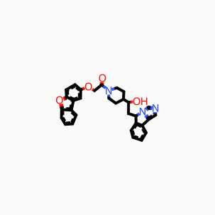 O=C(COc1ccc2oc3ccccc3c2c1)N1CCC(C(O)CC2c3ccccc3-c3cncn32)CC1